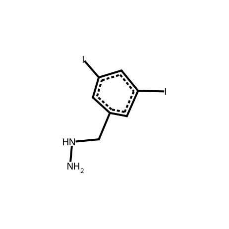 NNCc1cc(I)cc(I)c1